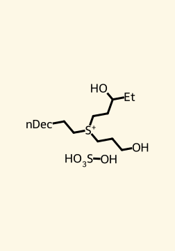 CCCCCCCCCCCC[S+](CCCO)CCC(O)CC.O=S(=O)(O)O